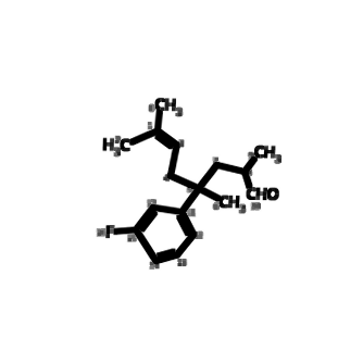 CC(C)=CCC(C)(CC(C)C=O)c1cccc(F)c1